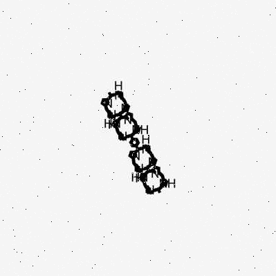 Cc1c2nc(cc3ccc([nH]3)c(-c3c4nc(cc5ccc([nH]5)c(-c5ccc(-c6c7nc(cc8ccc([nH]8)c(-c8c9nc(cc%10ccc([nH]%10)c(C)c%10nc(cc%11ccc8[nH]%11)C=C%10)C=C9)c8nc(cc9ccc6[nH]9)C=C8)C=C7)cc5)c5nc(cc6ccc3[nH]6)C=C5)C=C4)c3nc(cc4ccc1[nH]4)C=C3)C=C2